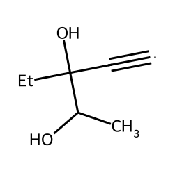 [C]#CC(O)(CC)C(C)O